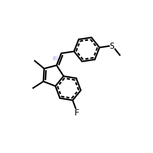 CSc1ccc(/C=C2/C(C)=C(C)c3cc(F)ccc32)cc1